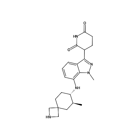 C[C@H]1CC2(CC[C@@H]1Nc1cccc3c(C4CCC(=O)NC4=O)nn(C)c13)CNC2